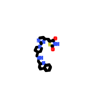 O=C1NC(=O)C(=Cc2ccnc(N3CCC(CNCc4ccc5ccccc5n4)CC3)n2)S1